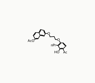 CCCc1c(OCCCOc2ccc3ccc(OC(C)=O)cc3c2)ccc(C(C)=O)c1O